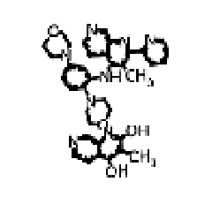 Cc1c(-c2ccccn2)nc2cnccc2c1Nc1cc(N2CCOCC2)ccc1N1CCOCC1.Cc1c(O)nc2cnccc2c1O